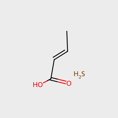 CC=CC(=O)O.S